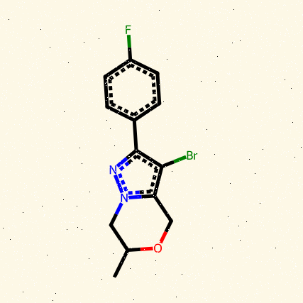 CC1Cn2nc(-c3ccc(F)cc3)c(Br)c2CO1